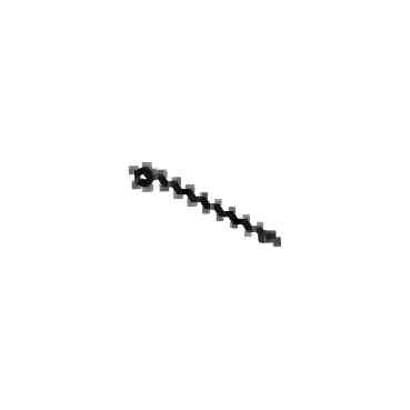 CCCCCCCCCCCCCCCCC1=[C]CC=C1